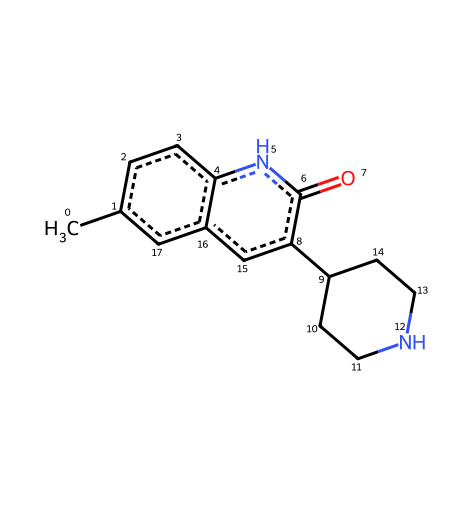 Cc1ccc2[nH]c(=O)c(C3CCNCC3)cc2c1